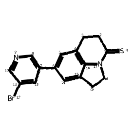 S=C1CCc2cc(-c3cncc(Br)c3)cc3c2N1CC3